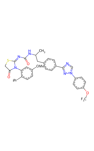 COc1ccc(C(C)C)c(N2C(=O)CS/C2=N/C(=O)NC(C)Cc2ccc(-c3ncn(-c4ccc(OC(F)(F)F)cc4)n3)cc2)c1